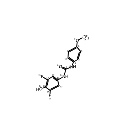 O=C(Nc1ccc(OC(F)(F)F)cc1)Nc1cc(F)c(O)c(F)c1